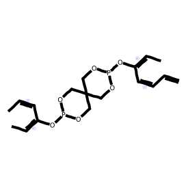 C=C/C=C\C(=C/C)OP1OCC2(COP(OC(/C=C\C)=C/C)OC2)CO1